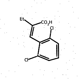 CCC(=Cc1c(Cl)cccc1Cl)C(=O)O